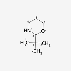 CC(C)(C)C1NCCCO1